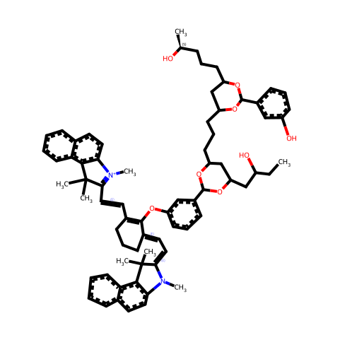 CCC(O)CC1CC(CCCC2CC(CCC[C@H](C)O)OC(c3cccc(O)c3)O2)OC(c2cccc(OC3=C(/C=C/C4=[N+](C)c5ccc6ccccc6c5C4(C)C)CCC/C3=C\C=C3\N(C)c4ccc5ccccc5c4C3(C)C)c2)O1